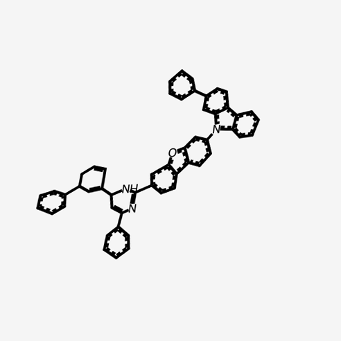 C1=CC(C2C=C(c3ccccc3)N=C(c3ccc4c(c3)oc3cc(-n5c6ccccc6c6ccc(-c7ccccc7)cc65)ccc34)N2)=CC(c2ccccc2)C1